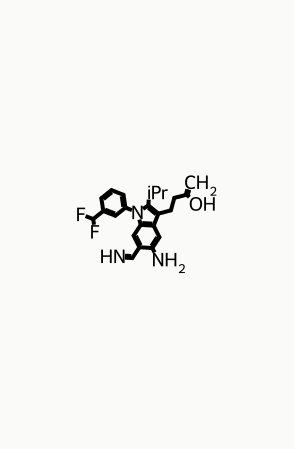 C=C(O)CCc1c(C(C)C)n(-c2cccc(C(F)F)c2)c2cc(C=N)c(N)cc12